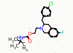 CC(C)(C)NC(=O)OCCN1Cc2ccc(F)cc2CC1Cc1ccc(Cl)cc1